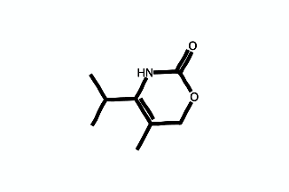 CC1=C(C(C)C)NC(=O)OC1